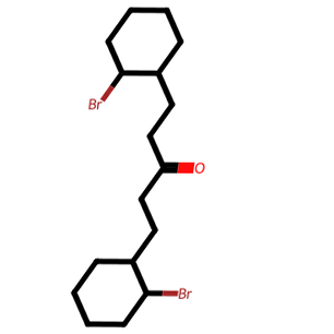 O=C(CCC1CCCCC1Br)CCC1CCCCC1Br